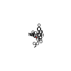 CCC(=O)OCC(=O)[C@@]1(OC(=O)CC)[C@@H](C)C[C@H]2[C@@H]3CCC4=CC(=O)C=C[C@]4(C)C3(F)[C@@H](OP(=O)([O-])[O-])C[C@@]21C.[Na+].[Na+]